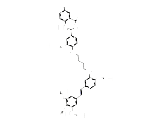 COc1cc(C2NC(=O)c3cc(Cl)ccc3N2)ccc1OCCCCOc1cc(/C=C/c2cc(OC)c(OC)c(OC)c2)ccc1OC